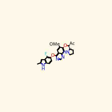 COc1cc2c(Oc3ccc4[nH]c(C)cc4c3F)ncnc2cc1OC(C(C)=O)[C@H]1CCCN1